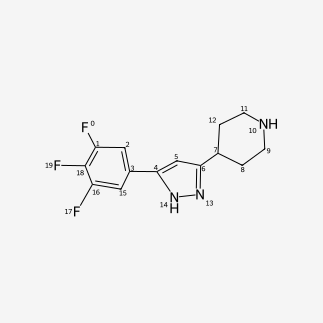 Fc1cc(-c2cc(C3CCNCC3)n[nH]2)cc(F)c1F